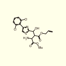 C=CCOC(=O)C(C(N)C(=O)OC(C)(C)C)C(O)c1nc(-c2c(Cl)cccc2Cl)cs1